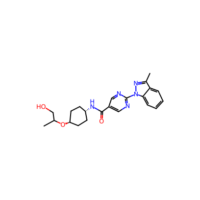 Cc1nn(-c2ncc(C(=O)N[C@H]3CC[C@H](OC(C)CO)CC3)cn2)c2ccccc12